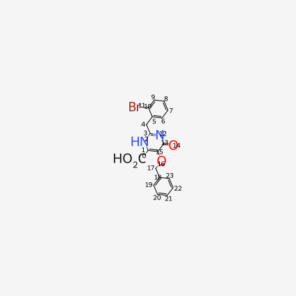 O=C(O)c1[nH]c(Cc2ccccc2Br)nc(=O)c1OCc1ccccc1